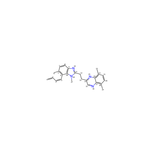 C=C/C=C\c1c(C)ccc2nc(CCc3cnc4c(C)ccc(C)c4n3)n(C)c12